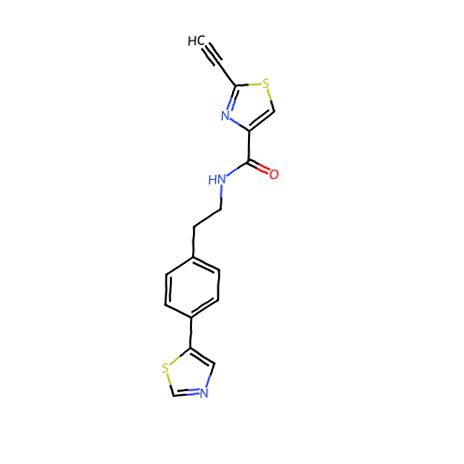 C#Cc1nc(C(=O)NCCc2ccc(-c3cncs3)cc2)cs1